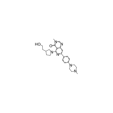 CN1CCN(c2ccc(-c3cc4ncn(C)c(=O)c4c(N4CCC(CCO)C4)n3)cc2)CC1